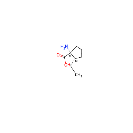 CC[C@H]1CCC[C@]1(N)C(=O)O